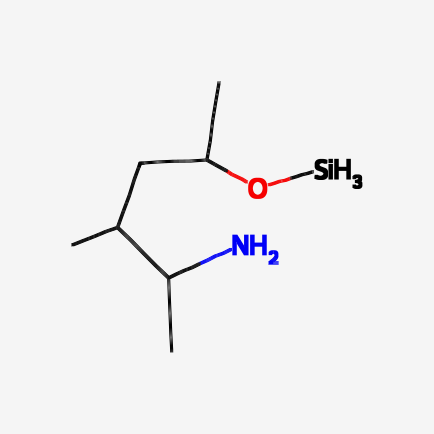 CC(CC(C)C(C)N)O[SiH3]